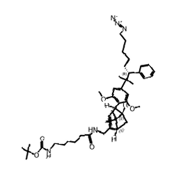 COc1cc(C(C)(C)[C@H](CCCCCN=[N+]=[N-])c2ccccc2)cc(OC)c1[C@H]1C=C(CNC(=O)CCCCCNC(=O)OC(C)(C)C)[C@H]2C[C@@H]1C2(C)C